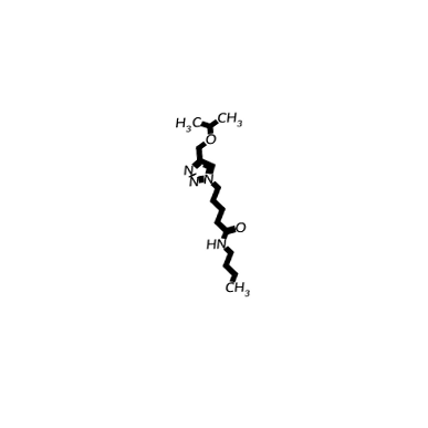 CCCCNC(=O)CCCCn1cc(COC(C)C)nn1